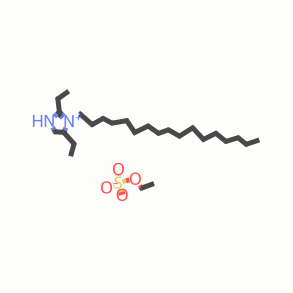 CCCCCCCCCCCCCCCCC[N+]1=C(CC)NCC1CC.CCOS(=O)(=O)[O-]